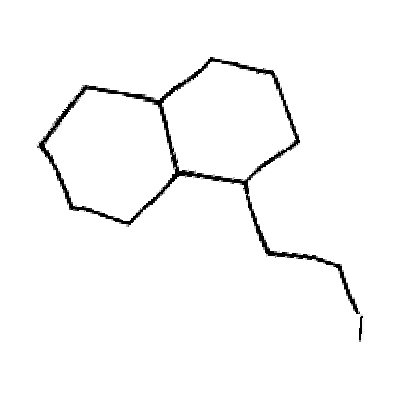 ICCC1CCCC2CCCCC12